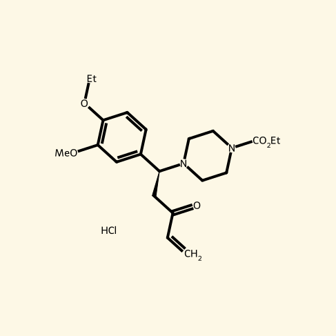 C=CC(=O)C[C@@H](c1ccc(OCC)c(OC)c1)N1CCN(C(=O)OCC)CC1.Cl